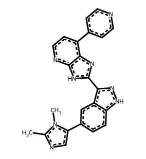 Cc1ncc(-c2ccc3[nH]nc(-c4nc5c(-c6ccncc6)ccnc5[nH]4)c3c2)n1C